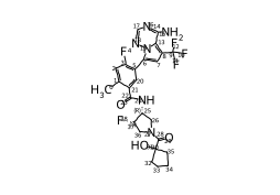 Cc1cc(F)c(-c2cc(C(F)(F)F)c3c(N)ncnn23)cc1C(=O)N[C@@H]1CN(C(=O)C2(O)CCCC2)C[C@@H]1F